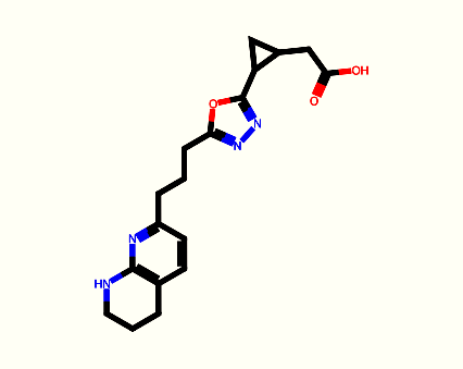 O=C(O)CC1CC1c1nnc(CCCc2ccc3c(n2)NCCC3)o1